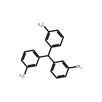 FC(F)(F)c1cccc([C](c2cccc(C(F)(F)F)c2)c2cccc(C(F)(F)F)c2)c1